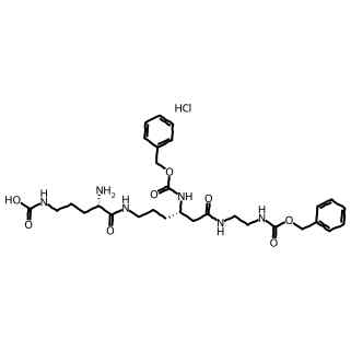 Cl.N[C@@H](CCCNC(=O)O)C(=O)NCCC[C@@H](CC(=O)NCCNC(=O)OCc1ccccc1)NC(=O)OCc1ccccc1